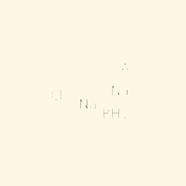 [Al].[BH4-].[Cl-].[Na+].[Na+]